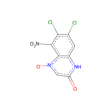 O=c1c[n+]([O-])c2c([N+](=O)[O-])c(Cl)c(Cl)cc2[nH]1